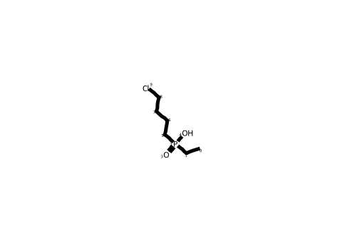 CCP(=O)(O)CCCCCl